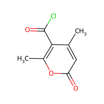 Cc1cc(=O)oc(C)c1C(=O)Cl